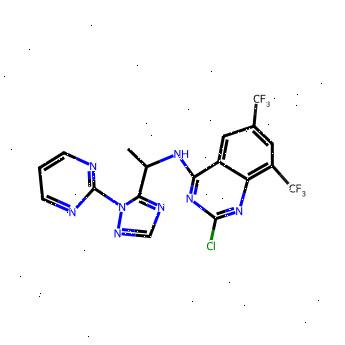 CC(Nc1nc(Cl)nc2c(C(F)(F)F)cc(C(F)(F)F)cc12)c1ncnn1-c1ncccn1